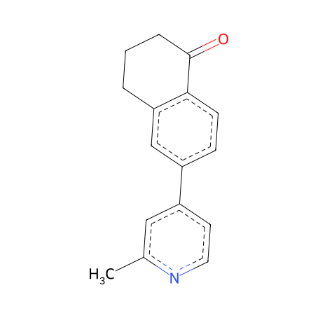 Cc1cc(-c2ccc3c(c2)CCCC3=O)ccn1